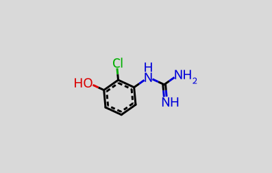 N=C(N)Nc1cccc(O)c1Cl